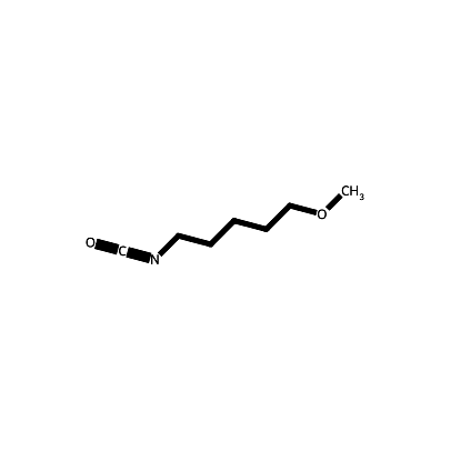 COCCCCCN=C=O